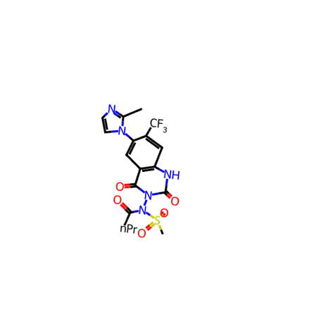 CCCC(=O)N(n1c(=O)[nH]c2cc(C(F)(F)F)c(-n3ccnc3C)cc2c1=O)S(C)(=O)=O